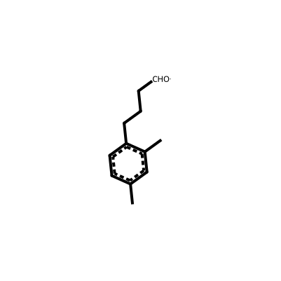 Cc1ccc(CCC[C]=O)c(C)c1